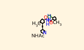 CC(=O)Nc1ccc(C#Cc2cc(C(=O)NNC(=O)c3c(C)cccc3Cl)ccc2C)cn1